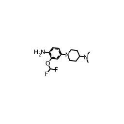 CN(C)C1CCN(c2ccc(N)c(OC(F)F)c2)CC1